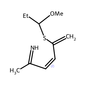 C=C(/C=C\C(C)=N)SC(CC)OC